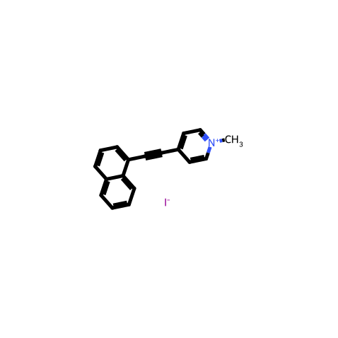 C[n+]1ccc(C#Cc2cccc3ccccc23)cc1.[I-]